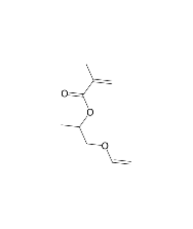 C=COCC(C)OC(=O)C(=C)C